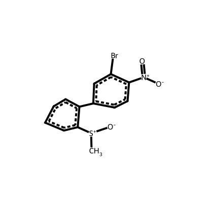 C[S+]([O-])c1ccccc1-c1ccc([N+](=O)[O-])c(Br)c1